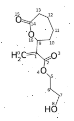 C=C(C(=O)OCCCO)C1CCCCC(=O)O1